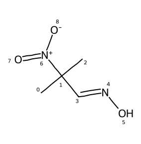 CC(C)(C=NO)[N+](=O)[O-]